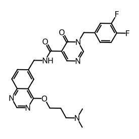 CN(C)CCCOc1ncnc2ccc(CNC(=O)c3cncn(Cc4ccc(F)c(F)c4)c3=O)cc12